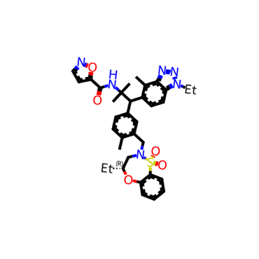 CC[C@@H]1CN(Cc2cc(C(c3ccc4c(nnn4CC)c3C)C(C)(C)NC(=O)c3ccno3)ccc2C)S(=O)(=O)c2ccccc2O1